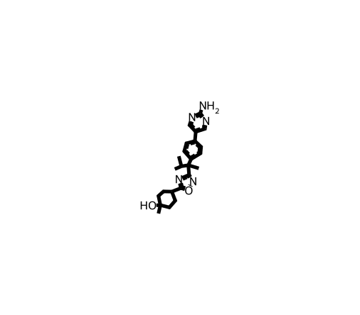 CC(C)C(C)(c1ccc(-c2cnc(N)nc2)cc1)c1noc(C2CCC(C)(O)CC2)n1